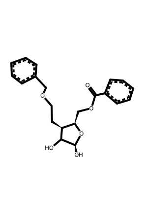 O=C(OC[C@H]1O[C@@H](O)C(O)[C@H]1CCOCc1ccccc1)c1ccccc1